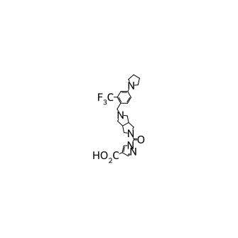 O=C(O)c1cnn(C(=O)N2CC3CN(Cc4ccc(N5CCCC5)cc4C(F)(F)F)CC3C2)c1